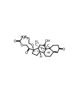 CSCO[C@]1(C(=O)COC(C)=O)CC[C@H]2[C@@H]3CCC4=CC(=O)CC[C@]4(C)[C@@]3(F)C(O)C[C@@]21C